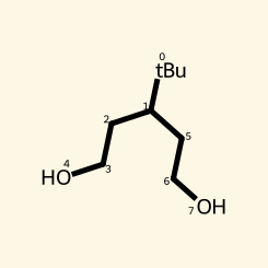 CC(C)(C)C(CCO)CCO